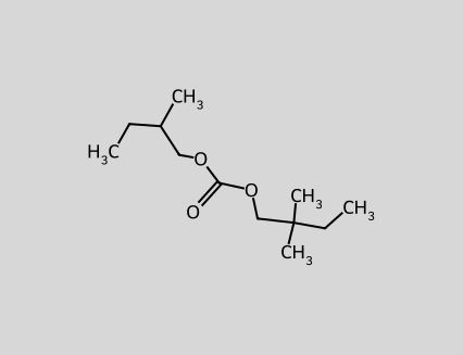 CCC(C)COC(=O)OCC(C)(C)CC